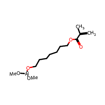 C=C(C)C(=O)OCCCCCCC[O][Al]([O]C)[O]C